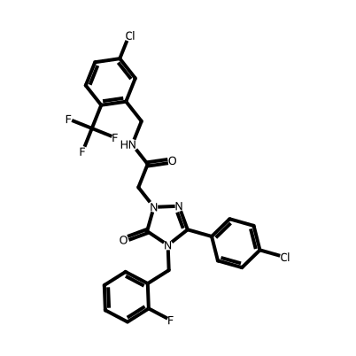 O=C(Cn1nc(-c2ccc(Cl)cc2)n(Cc2ccccc2F)c1=O)NCc1cc(Cl)ccc1C(F)(F)F